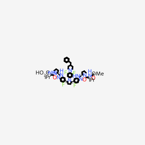 COC(=O)N[C@H](C(=O)N1CCC[C@H]1c1nc2cc(F)c([C@H]3CC[C@H](c4cc5[nH]c([C@@H]6CCCN6C(=O)[C@@H](NC(=O)O)C(C)C)nc5cc4F)N3c3cc(F)c(N4CCC(Cc5ccccc5)CC4)c(F)c3)cc2[nH]1)C(C)C